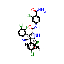 CC(C)(C)C[C@@H]1N[C@@H](C(=O)Nc2ccc(C(N)=O)c(Cl)c2)[C@H](c2cccc(Cl)c2F)[C@@]1(C#N)c1ccc(Cl)cc1F